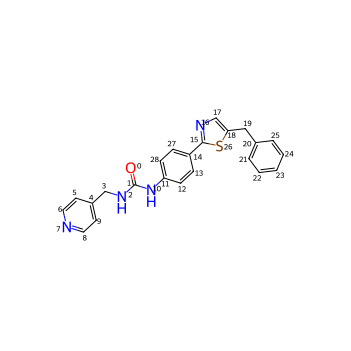 O=C(NCc1ccncc1)Nc1ccc(-c2ncc(Cc3ccccc3)s2)cc1